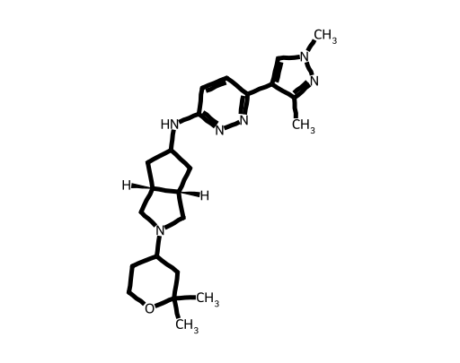 Cc1nn(C)cc1-c1ccc(NC2C[C@@H]3CN(C4CCOC(C)(C)C4)C[C@@H]3C2)nn1